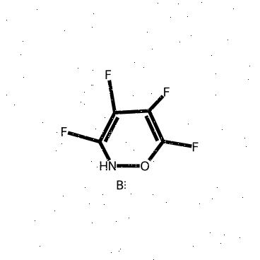 FC1=C(F)C(F)=C(F)ON1.[B]